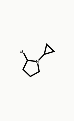 CCC1CCCN1C1CC1